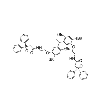 CC(c1cc(OCCNC(=O)CP(=O)(c2ccccc2)c2ccccc2)c(C(C)(C)C)cc1C(C)(C)C)c1cc(OCCNC(=O)CP(=O)(c2ccccc2)c2ccccc2)c(C(C)(C)C)cc1C(C)(C)C